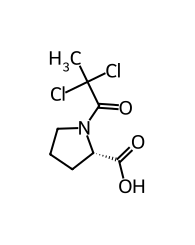 CC(Cl)(Cl)C(=O)N1CCC[C@H]1C(=O)O